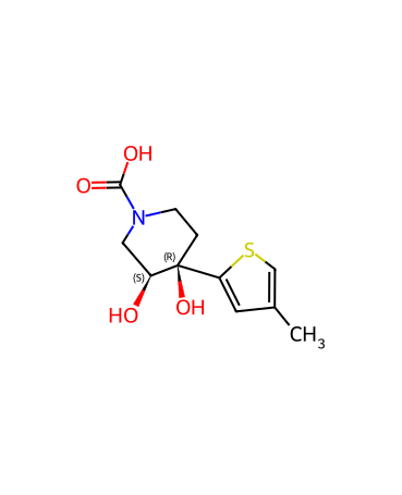 Cc1csc([C@@]2(O)CCN(C(=O)O)C[C@@H]2O)c1